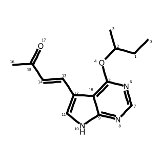 CCC(C)Oc1ncnc2[nH]cc(/C=C/C(C)=O)c12